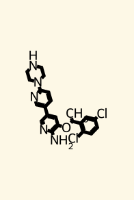 CC(Oc1cc(-c2ccc(N3CCNCC3)nc2)cnc1N)c1cc(Cl)ccc1Cl